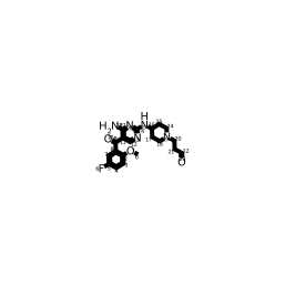 COc1ccc(F)cc1C(=O)c1cnc(NC2CCN(CCC=O)CC2)nc1N